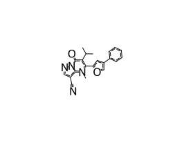 CC(C)c1c(-c2cc(-c3ccccc3)co2)n(C)c2c(C#N)cnn2c1=O